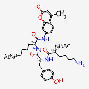 CC(=O)NCCCC[C@H](NC(=O)[C@H](Cc1ccc(O)cc1)NC(=O)[C@H](CCCCN)NC(C)=O)C(=O)Nc1ccc2c(C)cc(=O)oc2c1